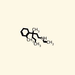 C=CNCCC(C)(CCC)C1=C(C)C=CCC1